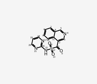 O=C(c1cncc2ccccc12)S(=O)(=O)Nc1ncccn1